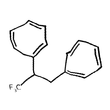 FC(F)(F)C(Cc1ccccc1)c1ccccc1